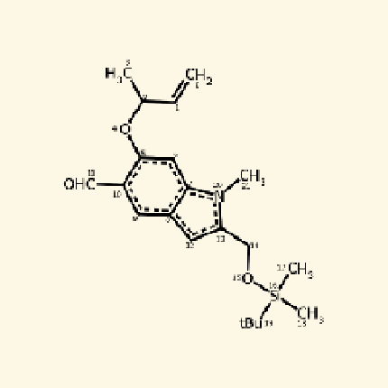 C=CC(C)Oc1cc2c(cc1C=O)cc(CO[Si](C)(C)C(C)(C)C)n2C